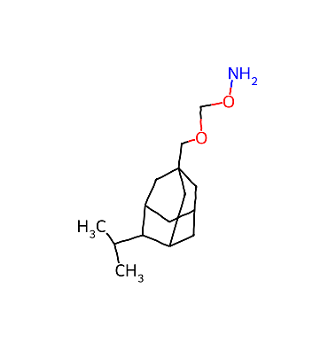 CC(C)C1C2CC3CC1CC(COCON)(C3)C2